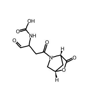 O=CC(CC(=O)N1C[C@@H]2C[C@H]1C(=O)O2)NC(=O)O